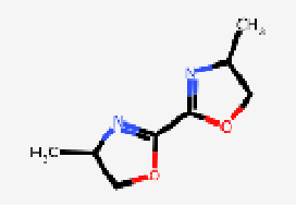 CC1COC(C2=NC(C)CO2)=N1